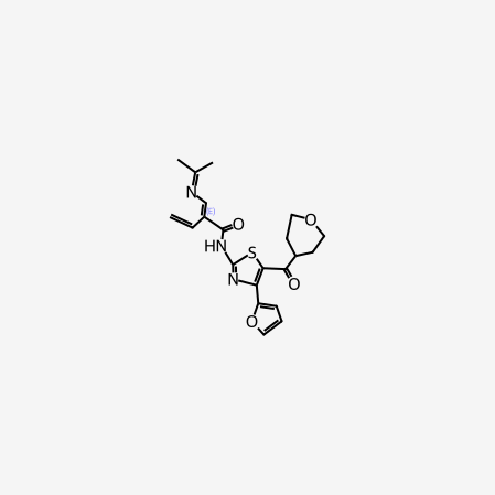 C=C/C(=C\N=C(C)C)C(=O)Nc1nc(-c2ccco2)c(C(=O)C2CCOCC2)s1